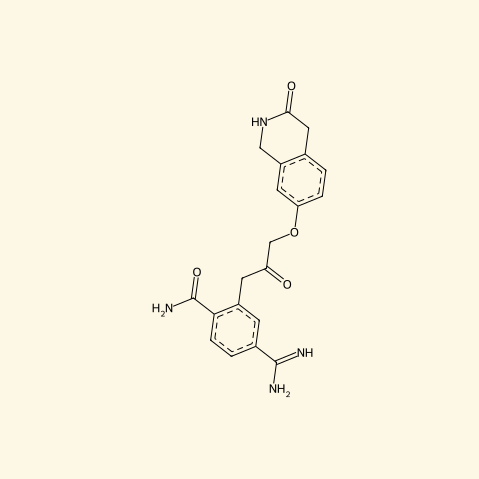 N=C(N)c1ccc(C(N)=O)c(CC(=O)COc2ccc3c(c2)CNC(=O)C3)c1